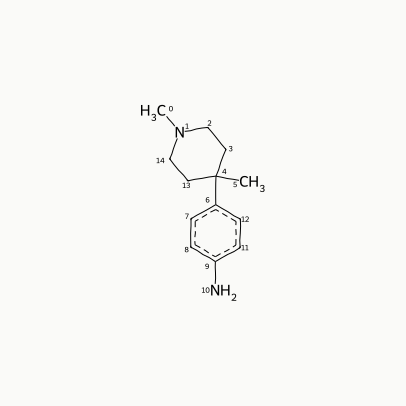 CN1CCC(C)(c2ccc(N)cc2)CC1